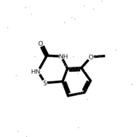 COc1cccc2c1NC(=O)NS2